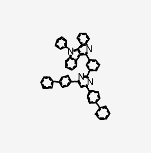 c1ccc(-c2ccc(-c3cc(-c4ccc(-c5ccccc5)cc4)nc(-c4cccc(-c5nc6ccccc6c6c5c5ccccc5n6-c5ccccc5)c4)n3)cc2)cc1